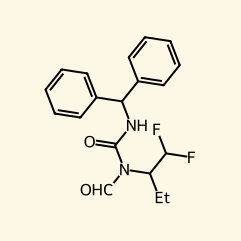 CCC(C(F)F)N(C=O)C(=O)NC(c1ccccc1)c1ccccc1